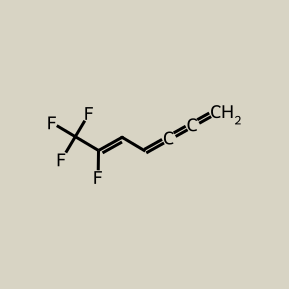 C=C=C=CC=C(F)C(F)(F)F